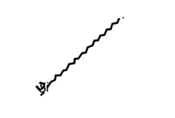 [CH2]CCCCCCCCCCCCCCCCCCCCCCC[Si](CC)(CC)CC